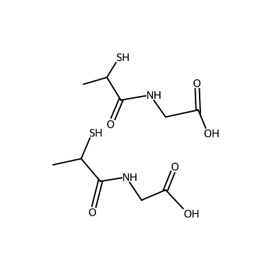 CC(S)C(=O)NCC(=O)O.CC(S)C(=O)NCC(=O)O